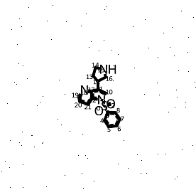 O=S(=O)(c1ccccc1)n1cc(C2CCNC2)c2ncccc21